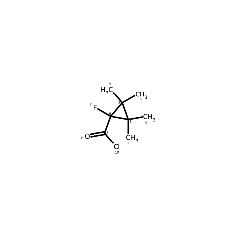 CC1(C)C(C)(C)C1(F)C(=O)Cl